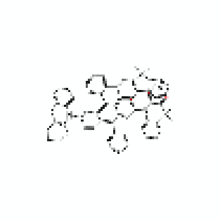 CC1(C)c2ccccc2N(c2ccc3c(-c4ccccc4-c4ccc5c(c4)C(C)(C)C4C=CC=CC54)c4cc(N5C6=C(C=CCC6)Cc6ccccc65)ccc4c(-c4ccccc4)c3c2)c2ccccc21